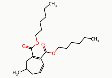 CCCCCCOC(=O)C1=C(C(=O)OCCCCCC)CC(C)CC=C1